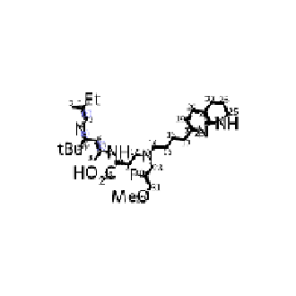 CC/C(C)=C/N=C(\C=C(/C)N[C@@H](CCN(CCCCc1ccc2c(n1)NCCC2)C[C@H](F)COC)C(=O)O)C(C)(C)C